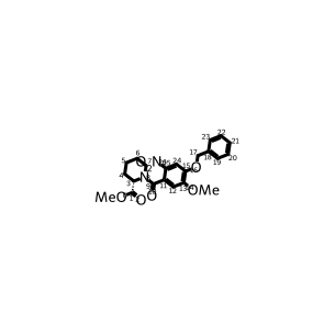 COC(=O)[C@@H]1CCCCN1C(=O)c1cc(OC)c(OCc2ccccc2)cc1[N+](=O)[O-]